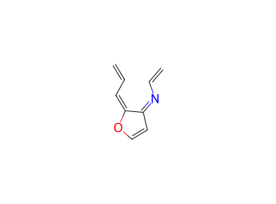 C=C/C=C1/OC=C/C1=N/C=C